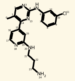 Cc1cnc(Nc2cccc(Cl)c2)nc1-c1ccnc(NCCCN)c1